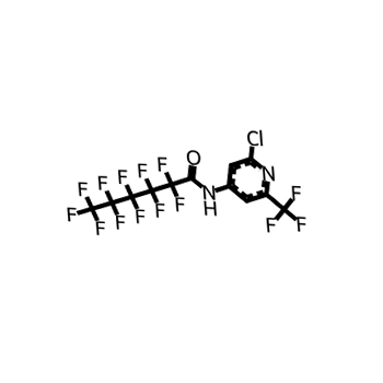 O=C(Nc1cc(Cl)nc(C(F)(F)F)c1)C(F)(F)C(F)(F)C(F)(F)C(F)(F)C(F)(F)F